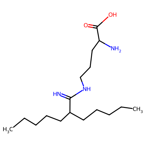 CCCCCC(CCCCC)C(=N)NCCCC(N)C(=O)O